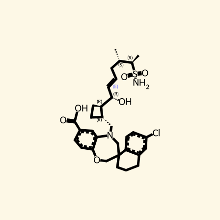 C[C@H]([C@@H](C)C/C=C/[C@H](O)[C@@H]1CC[C@H]1CN1CC2(CCCc3cc(Cl)ccc32)COc2ccc(C(=O)O)cc21)S(N)(=O)=O